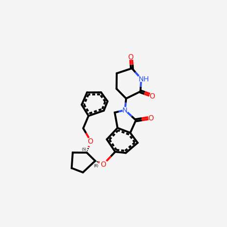 O=C1CCC(N2Cc3cc(O[C@@H]4CCC[C@@H]4OCc4ccccc4)ccc3C2=O)C(=O)N1